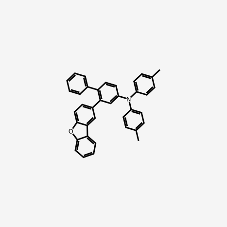 Cc1ccc(N(c2ccc(C)cc2)c2ccc(-c3ccccc3)c(-c3ccc4oc5ccccc5c4c3)c2)cc1